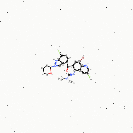 CN(C)/C=N/c1c(C(=O)c2ccc(F)c3nn(C4CCCCO4)cc23)cc(Br)c2ncc(F)cc12